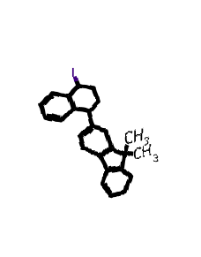 CC1(C)C2=C(C=CCC2)C2CC=C(C3CCC(I)C4C=CC=CC34)CC21